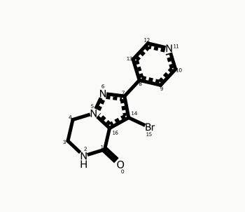 O=C1NCCn2nc(-c3ccncc3)c(Br)c21